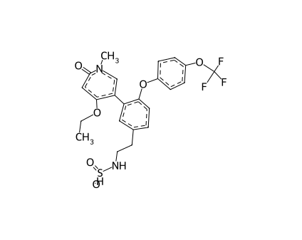 CCOc1cc(=O)n(C)cc1-c1cc(CCN[SH](=O)=O)ccc1Oc1ccc(OC(F)(F)F)cc1